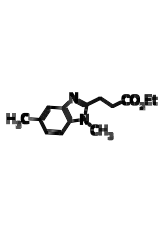 CCOC(=O)CCc1nc2cc(C)ccc2n1C